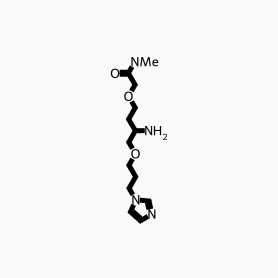 CNC(=O)COCCC(N)COCCCn1ccnc1